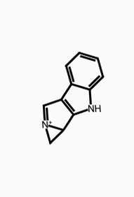 C1=[N+]2CC2c2[nH]c3ccccc3c21